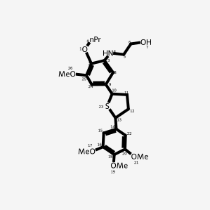 CCCOc1c(NCCO)cc(C2CCC(c3cc(OC)c(OC)c(OC)c3)S2)cc1OC